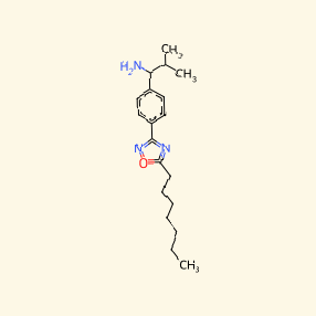 CCCCCCCc1nc(-c2ccc(C(N)C(C)C)cc2)no1